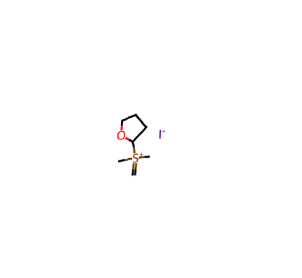 C=[S+](C)(C)C1CCCO1.[I-]